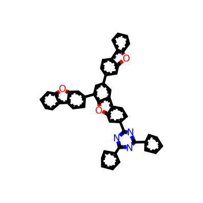 c1ccc(-c2nc(-c3ccccc3)nc(-c3ccc4c(c3)oc3c(-c5ccc6c(c5)oc5ccccc56)cc(-c5ccc6c(c5)oc5ccccc56)cc34)n2)cc1